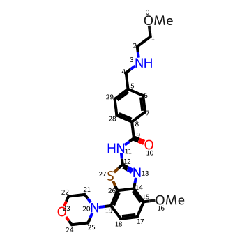 COCCNCc1ccc(C(=O)Nc2nc3c(OC)ccc(N4CCOCC4)c3s2)cc1